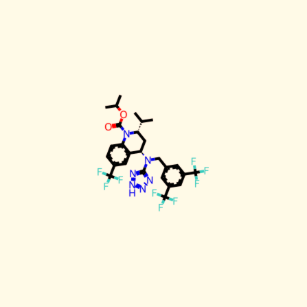 CC(C)OC(=O)N1c2ccc(C(F)(F)F)cc2[C@@H](N(Cc2cc(C(F)(F)F)cc(C(F)(F)F)c2)c2nn[nH]n2)C[C@H]1C(C)C